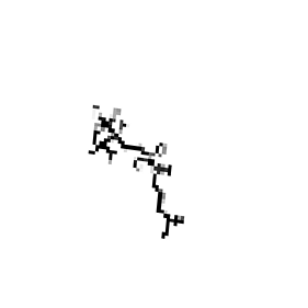 CN(C)CCCNS(=O)(=O)CCC(F)(C(F)(F)F)C(F)(F)F